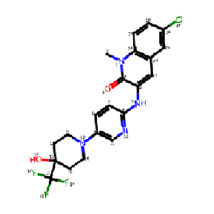 Cn1c(=O)c(Nc2ccc(N3CCC(O)(C(F)(F)F)CC3)cn2)cc2cc(Cl)ccc21